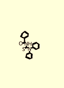 O=C(NC(=S)N(c1ccccc1)c1ccccc1)c1ccccc1